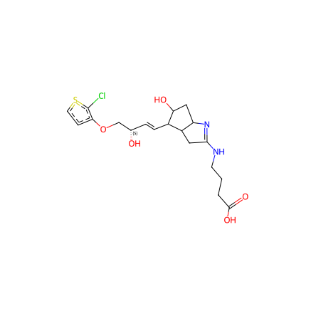 O=C(O)CCCNC1=NC2CC(O)C(C=C[C@H](O)COc3ccsc3Cl)C2C1